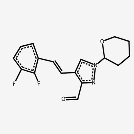 O=Cc1nn(C2CCCCO2)cc1C=Cc1cccc(F)c1F